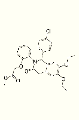 CCOc1cc2c(cc1OCC)C(c1ccc(Cl)cc1)N(c1ccccc1OCC(=O)OC)C(=O)C2